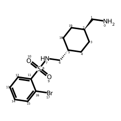 NC[C@H]1CC[C@H](CNS(=O)(=O)c2ccccc2Br)CC1